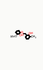 COc1cccc(OCCc2cccc(C)c2O)c1O